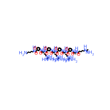 COc1ccc(NC(=O)[C@@H](CCCNC(=N)N)NC(=O)c2cc(NC(=O)[C@@H](CCCNC(=N)N)NC(=O)c3cc(NC(=O)[C@@H](CCCNC(=N)N)NC(=O)c4cc(NC(=O)[C@@H](C)NC(=O)CCCCNC(C)N)ccc4OC)ccc3OC)ccc2OC)cc1C(=O)NCCCCCN